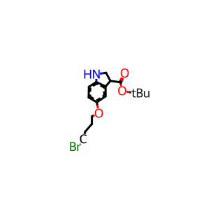 CC(C)(C)OC(=O)C1CNc2ccc(OCCCCBr)cc21